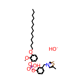 CCCCCCCCCCCCCCOc1cccc(OP(=O)(O)Oc2cccc(C[n+]3csc(C)c3)c2)c1OC.[OH-]